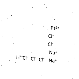 [Cl-].[Cl-].[Cl-].[Cl-].[Cl-].[H+].[Na+].[Na+].[Pt+2]